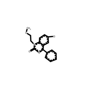 COCCn1c(=O)nc(-c2ccccc2)c2cc(Cl)ccc21